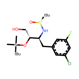 CC(C)(C)[S@+]([O-])N[C@@H](Cc1cc(F)cc(Cl)c1)[C@@H](CO)O[Si](C)(C)C(C)(C)C